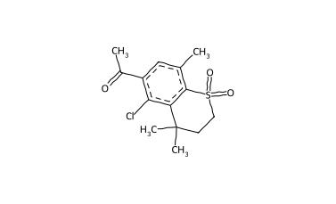 CC(=O)c1cc(C)c2c(c1Cl)C(C)(C)CCS2(=O)=O